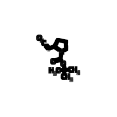 CC(C)(C)OC(=O)N1CCCC1[C]=C=O